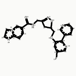 O=C(NCC1=NOC(COc2cc(F)cnc2-c2cccnc2)C1)c1ccc2nccn2c1